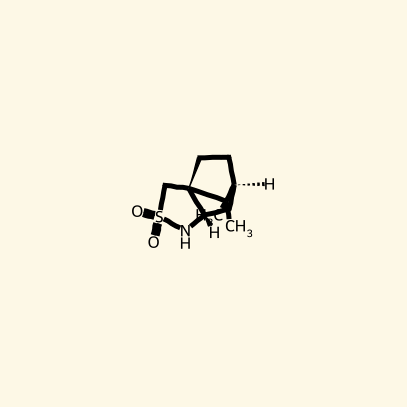 CC1(C)[C@H]2CC[C@@]13CS(=O)(=O)N[C@H]3C2